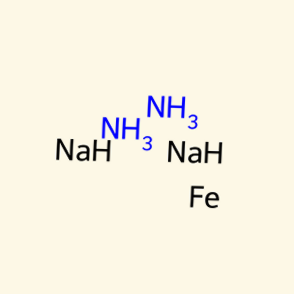 N.N.[Fe].[NaH].[NaH]